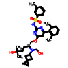 Cc1cccc(S(=O)(=O)Nc2nc(OC[C@@H](CCC(C)(C)O)N(CO)C3CC4(CC4)C3)cc(-c3c(C)cccc3C)n2)c1